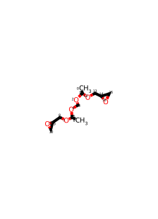 CC(OCOC(C)OCC1CO1)OCC1CO1